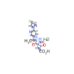 C[C@H](NC(=O)C1(NC(=O)CCl)CN(C(=O)O)C1)c1ccc(-n2cc(F)cn2)nc1